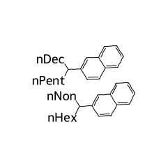 CCCCCCCCCC(CCCCCC)c1ccc2ccccc2c1.CCCCCCCCCCC(CCCCC)c1ccc2ccccc2c1